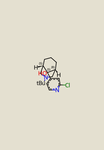 CC(C)(C)N1C[C@H]2CCC[C@@H](C1)[C@@]2(O)c1ccnc(Cl)c1